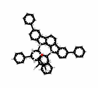 Fc1ccc(-n2c3ccc(-c4ccccc4)cc3c3ccc4c5cc(-c6ccccc6)ccc5n(-c5nc(-c6ccccc6)nc(-c6ccccc6)n5)c4c32)cc1F